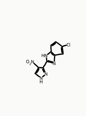 O=[N+]([O-])c1c[nH]nc1-c1nc2cc(Cl)ccc2[nH]1